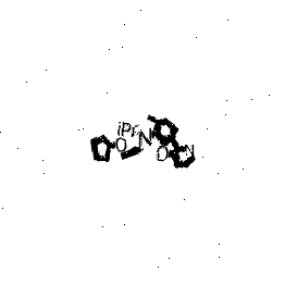 Cc1ccc2c(oc3cccnc32)c1N(/C=C\OC1CCCC1)C(C)C